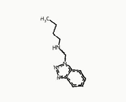 CCCCNCn1nnc2ccccc21